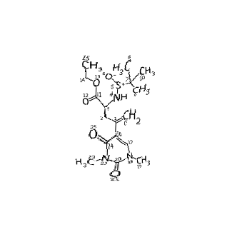 C=C(C[C@H](N[S+]([O-])C(C)(C)C)C(=O)OCC)c1cn(C)c(=O)n(C)c1=O